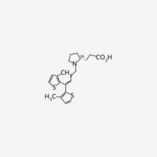 Cc1ccsc1C(=CCCN1CCC[C@@H]1CCC(=O)O)c1sccc1C